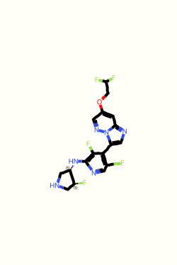 Fc1cnc(N[C@H]2CNC[C@@H]2F)c(F)c1-c1cnc2cc(OCC(F)F)cnn12